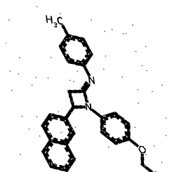 CCOc1ccc(N2/C(=N/c3ccc(C)cc3)CC2c2ccc3ccccc3c2)cc1